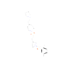 Cc1cc(S(=O)(=O)N2CCC(CCS(=O)(=O)N3CCC(CCN4CCCC4)CC3)C2)c(C)cc1Cl